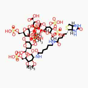 CO[C@H]1O[C@H](COS(=O)(=O)O)[C@@H](O[C@@H]2O[C@@H](C(=O)O)[C@@H](O[C@H]3O[C@H](COS(=O)(=O)O)[C@@H](O[C@@H]4O[C@H](C(=O)O)[C@@H](O[C@H]5O[C@H](COS(=O)(=O)O)[C@@H](OC)[C@H](OC)[C@H]5NC(=O)CCCCCNC(=O)CCCC[C@@H]5SC[C@@H]6NC(=O)N[C@@H]65)[C@H](OC)[C@H]4OC)[C@H](OS(=O)(=O)O)[C@H]3OS(=O)(=O)O)[C@H](OC)[C@H]2OC)[C@H](OS(=O)(=O)O)[C@H]1OS(=O)(=O)O